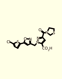 O=C(O)c1cc(C(=O)N2CCSC2)nn1Cc1cc(-c2ccc(Cl)s2)on1